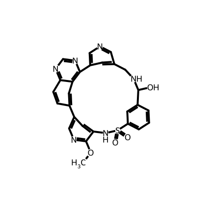 COc1ncc2cc1NS(=O)(=O)c1cccc(c1)C(O)NCc1cncc(c1)-c1ncnc3ccc-2cc13